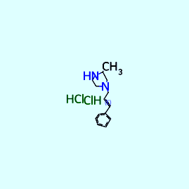 CC1CN(C/C=C/c2ccccc2)CCN1.Cl.Cl